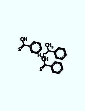 CC(C)c1ccccc1.OC(=S)c1ccccc1.OC(=S)c1ccccc1